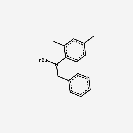 CCCCN(Cc1cccnc1)c1ccc(C)cc1C